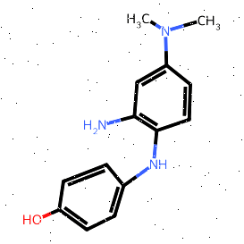 CN(C)c1ccc(Nc2ccc(O)cc2)c(N)c1